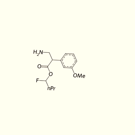 CCCC(F)OC(=O)C(CN)c1cccc(OC)c1